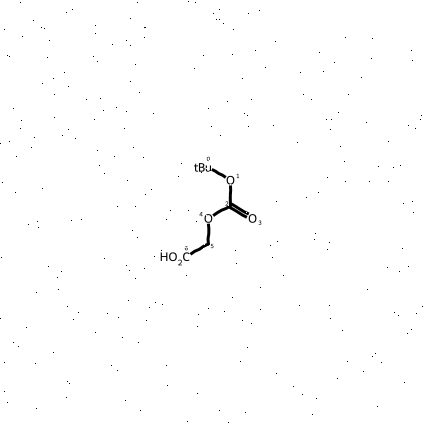 CC(C)(C)OC(=O)OCC(=O)O